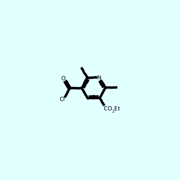 CCOC(=O)c1cc(C(=O)Cl)c(C)nc1C